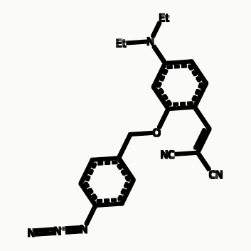 CCN(CC)c1ccc(C=C(C#N)C#N)c(OCc2ccc(N=[N+]=[N-])cc2)c1